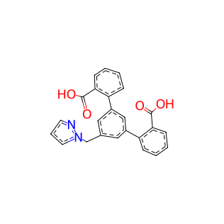 O=C(O)c1ccccc1-c1cc(Cn2cccn2)cc(-c2ccccc2C(=O)O)c1